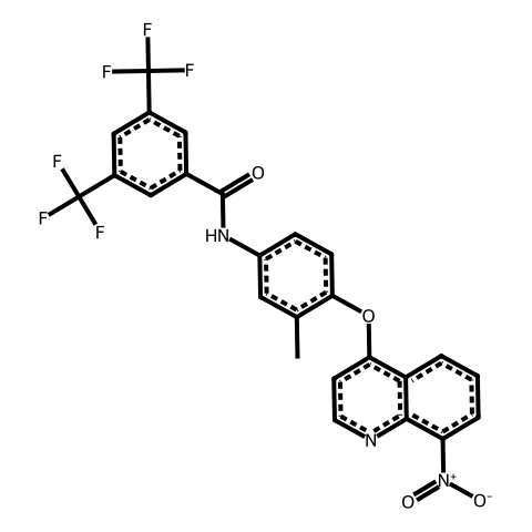 Cc1cc(NC(=O)c2cc(C(F)(F)F)cc(C(F)(F)F)c2)ccc1Oc1ccnc2c([N+](=O)[O-])cccc12